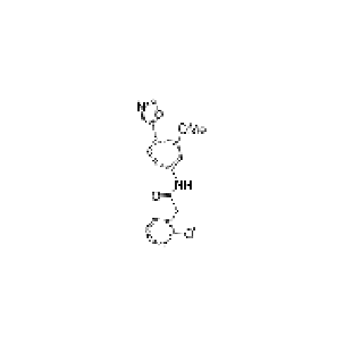 COc1cc(NC(=O)Cc2ccccc2Cl)ccc1-c1cnco1